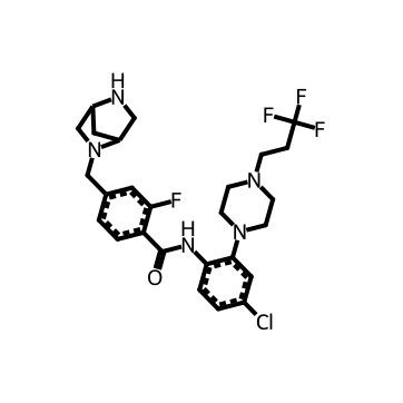 O=C(Nc1ccc(Cl)cc1N1CCN(CCC(F)(F)F)CC1)c1ccc(CN2CC3CC2CN3)cc1F